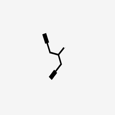 C#CCC([CH2])CC#C